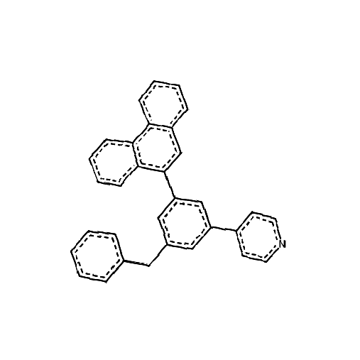 c1ccc(Cc2cc(-c3ccncc3)cc(-c3cc4ccccc4c4ccccc34)c2)cc1